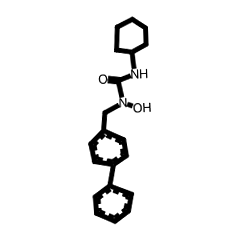 O=C(NC1CCCCC1)N(O)Cc1ccc(-c2ccccc2)cc1